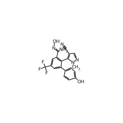 Cn1ncc(C#N)c1-c1c(/C(N)=N/O)cc(C(F)(F)F)cc1-c1ccc(O)cc1